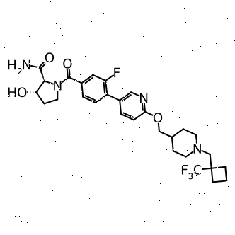 NC(=O)[C@@H]1[C@@H](O)CCN1C(=O)c1ccc(-c2ccc(OCC3CCN(CC4(C(F)(F)F)CCC4)CC3)nc2)c(F)c1